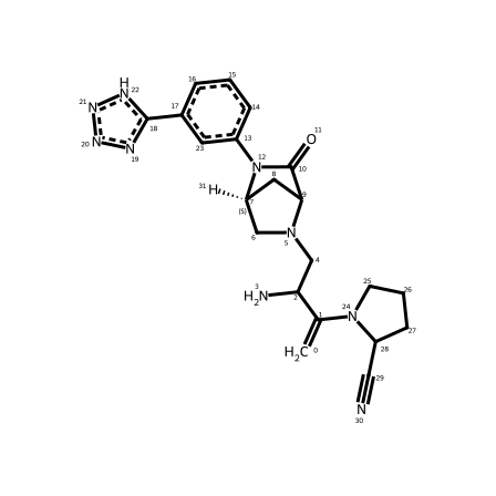 C=C(C(N)CN1C[C@@H]2CC1C(=O)N2c1cccc(-c2nnn[nH]2)c1)N1CCCC1C#N